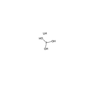 OP(O)O.[LiH]